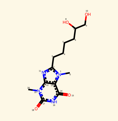 Cn1c(CCCCC(O)CO)nc2c1c(=O)[nH]c(=O)n2C